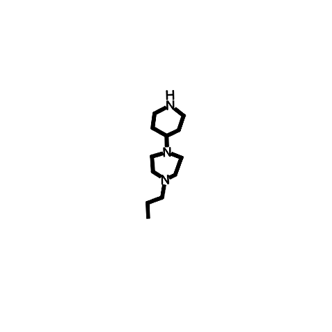 CCCN1CCN(C2CCNCC2)CC1